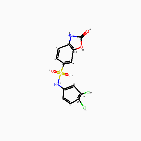 O=c1[nH]c2ccc(S(=O)(=O)Nc3ccc(Cl)c(Cl)c3)cc2o1